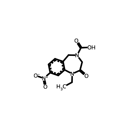 CCN1C(=O)CN(C(=O)O)Cc2ccc([N+](=O)[O-])cc21